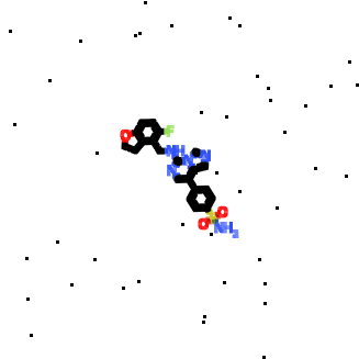 NS(=O)(=O)c1ccc(-c2cnc(NCc3c(F)ccc4c3CCO4)n3cncc23)cc1